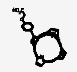 O=C(O)COc1ccc(-c2cc3cc4nc(cc5ccc(cc6nc(cc2[nH]3)C=C6)[nH]5)C=C4)cc1